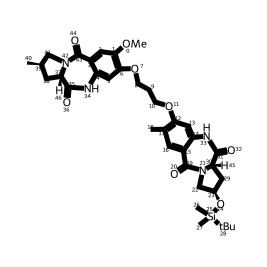 COc1cc2c(cc1OCCCOc1cc3c(cc1C)C(=O)N1C[C@H](O[Si](C)(C)C(C)(C)C)C[C@H]1C(=O)N3)NC(=O)[C@@H]1C[C@@H](C)CN1C2=O